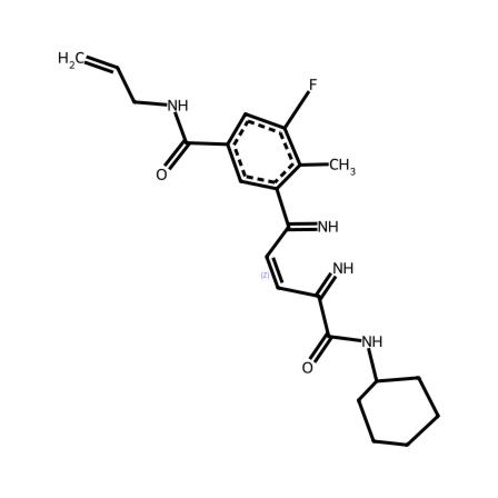 C=CCNC(=O)c1cc(F)c(C)c(C(=N)/C=C\C(=N)C(=O)NC2CCCCC2)c1